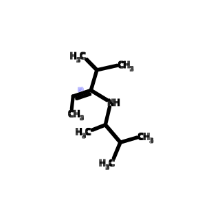 C/C=C(\NC(C)C(C)C)C(C)C